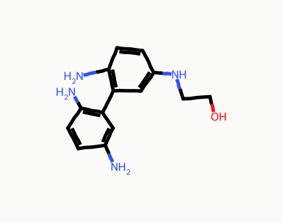 Nc1ccc(N)c(-c2cc(NCCO)ccc2N)c1